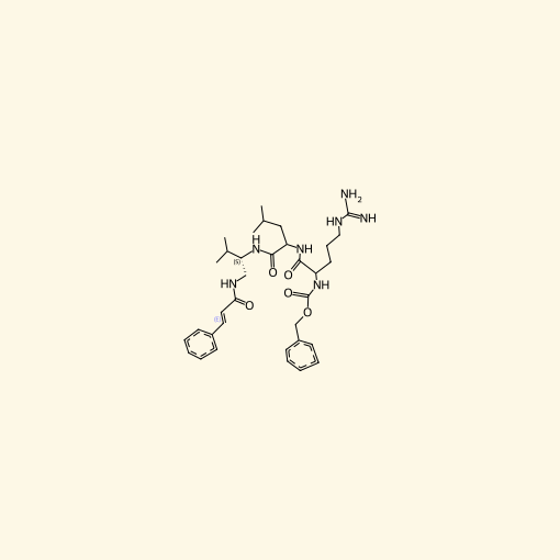 CC(C)CC(NC(=O)C(CCCNC(=N)N)NC(=O)OCc1ccccc1)C(=O)N[C@H](CNC(=O)/C=C/c1ccccc1)C(C)C